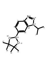 CC(C)n1nnc2ccc(B3OC(C)(C)C(C)(C)O3)cc21